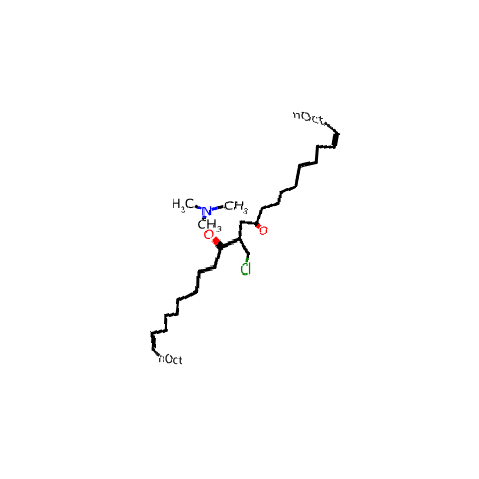 CCCCCCCC/C=C\CCCCCCCC(=O)CC(CCl)C(=O)CCCCCCC/C=C\CCCCCCCC.CN(C)C